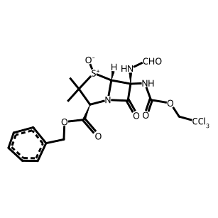 CC1(C)[C@H](C(=O)OCc2ccccc2)N2C(=O)[C@@](NC=O)(NC(=O)OCC(Cl)(Cl)Cl)[C@H]2[S+]1[O-]